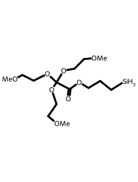 COCCOC(OCCOC)(OCCOC)C(=O)OCCC[SiH3]